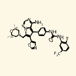 C[C@@H]1CN(Cc2c(-c3cnco3)c(-c3ccc(NC(=O)Nc4cc(C(F)(F)F)ccc4F)cc3)c3c(N)ncnn23)C[C@H](C)O1